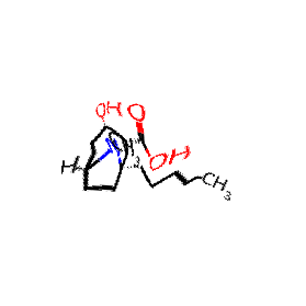 CCCCC[C@@]12CC[C@@H](C[C@H](O)[C@@H]1C(=O)O)N2C